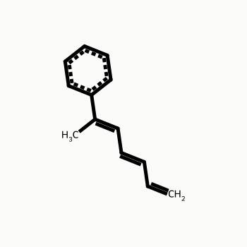 C=CC=CC=C(C)c1ccccc1